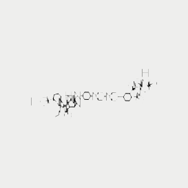 C=CCn1c(=O)c2cnc(Nc3ccc(N4CCC(N5CCC(c6ccc7c(c6)C(=O)N(C6CCC(=O)NC6=O)C7=O)CC5)CC4)cc3)nc2n1-c1cccc(C(C)(C)O)n1